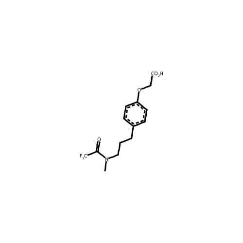 CN(CCCc1ccc(OCC(=O)O)cc1)C(=O)C(F)(F)F